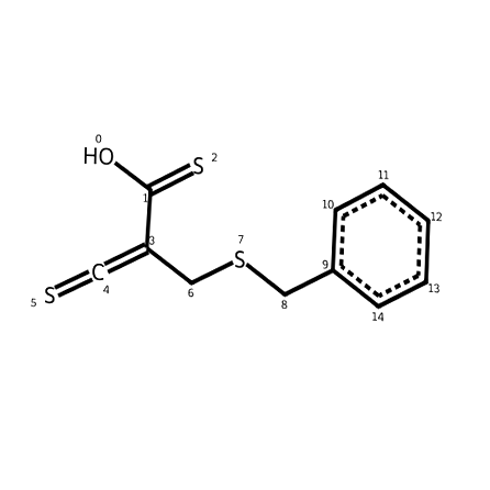 OC(=S)C(=C=S)CSCc1ccccc1